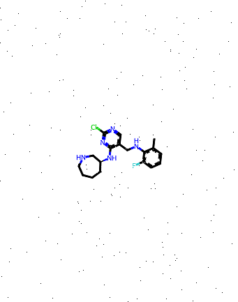 Cc1cccc(F)c1NCc1cnc(Cl)nc1N[C@H]1CCCCNC1